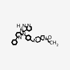 C=CC(=O)N1CCC2(CCN(Cc3ccc(-n4c(-c5cccnc5N)nc5ccc(-c6ccccc6)nc54)cc3)CC2)C1